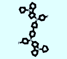 Fc1ccc(N(c2ccc(-c3ccc(N(c4ccc(F)cc4)c4ccc5c(c4)c4ccccc4n5C4C=CC=CC4)cc3)cc2)c2ccc3c(c2)c2ccccc2n3-c2ccccc2)cc1